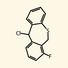 Fc1cccc2c1CSc1ccccc1C2Cl